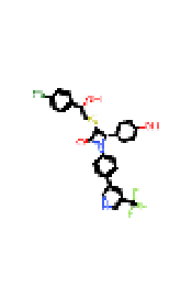 O=C1[C@H](SC[C@H](O)c2ccc(Cl)cc2)[C@@H](c2ccc(O)cc2)N1c1ccc(-c2cncc(C(F)(F)F)c2)cc1